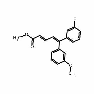 COC(=O)C=CC=C(c1cccc(F)c1)c1cccc(OC)c1